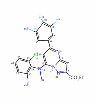 CCOC(=O)c1cc2nc(-c3cc(F)c(F)c(F)c3)cc(N(C)c3c(F)cccc3Cl)n2n1